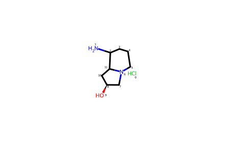 Cl.NC1CCCN2C[C@@H](O)CC12